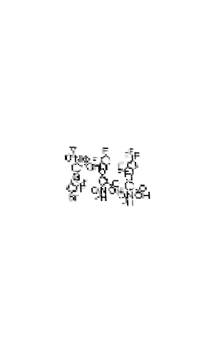 CCC(=O)Nc1ccc(OCc2ccc(C(F)(F)F)cc2C(F)(F)F)cc1C(=O)O.CCC(=O)Nc1ccc(OCc2ccc(F)cc2C(F)(F)F)cc1C(=O)O.O=C(O)c1cc(OCc2ccc(Br)cc2C(F)(F)F)ccc1NC(=O)C1CC1